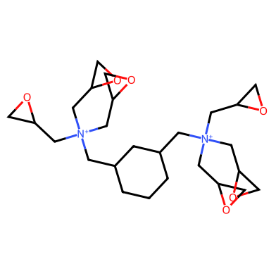 C1CC(C[N+](CC2CO2)(CC2CO2)CC2CO2)CC(C[N+](CC2CO2)(CC2CO2)CC2CO2)C1